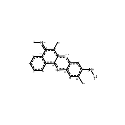 CCNc1cc2oc3c(C)/c(=N/C)c4ccccc4c-3nc2cc1C